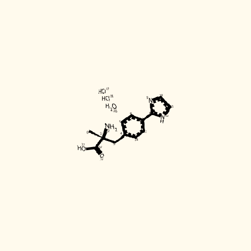 C[C@@](N)(Cc1ccc(-c2ncc[nH]2)cc1)C(=O)O.Cl.Cl.O